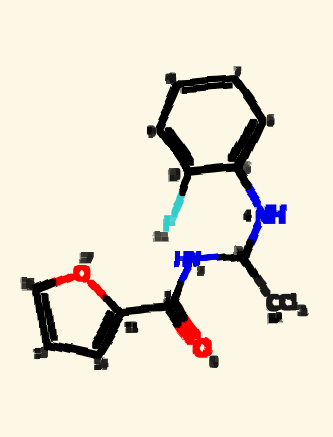 O=C(NC(Nc1ccccc1F)C(Cl)(Cl)Cl)c1ccco1